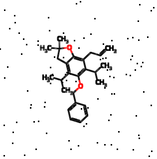 C=CCc1c2c(c(C(C)C)c(OCc3ccccc3)c1C(C)C)CC(C)(C)O2